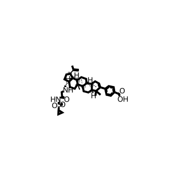 C=C(C)[C@@H]1CC[C@]2(CNCC(=O)NS(=O)(=O)C3CC3)CC[C@]3(C)[C@H](CC[C@@H]4[C@@]5(C)CC=C(c6ccc(C(=O)O)cc6)C(C)(C)[C@@H]5CC[C@]43C)[C@@H]12